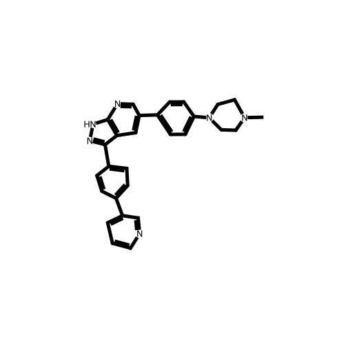 CN1CCN(c2ccc(-c3cnc4[nH]nc(-c5ccc(-c6cccnc6)cc5)c4c3)cc2)CC1